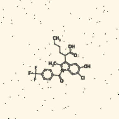 CCCCC(C(=O)O)c1c(C)n(C(=O)c2ccc(C(F)(F)F)cc2)c2cc(Cl)c(O)cc12